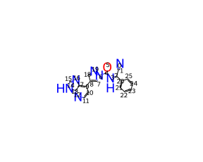 N#CC(NC(=O)n1cc(-c2ccnc3[nH]cnc23)cn1)c1ccccc1